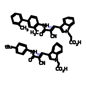 CC(C)(C)c1ccc(NC(=O)/C(C#N)=C/c2cn(CC(=O)O)c3ccccc23)cc1.Cc1cc(-c2ccccc2C)ccc1NC(=O)/C(C#N)=C/c1cn(CC(=O)O)c2ccccc12